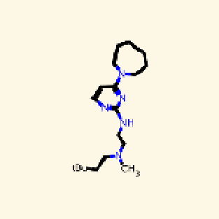 CN(CCNc1nccc(N2CCCCCC2)n1)CCC(C)(C)C